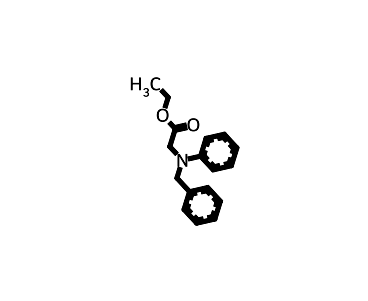 CCOC(=O)CN(Cc1ccccc1)c1ccccc1